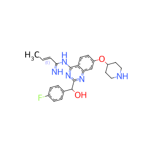 C/C=C/C(=N)Nc1nc(C(O)c2ccc(F)cc2)nc2cc(OC3CCNCC3)ccc12